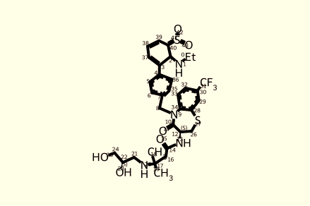 CCNC1C(c2ccc(CN3C(=O)[C@H](NC(=O)CC(C)(C)NC[C@H](O)CO)CSc4cc(C(F)(F)F)ccc43)cc2)=CC=CC1=S(=O)=O